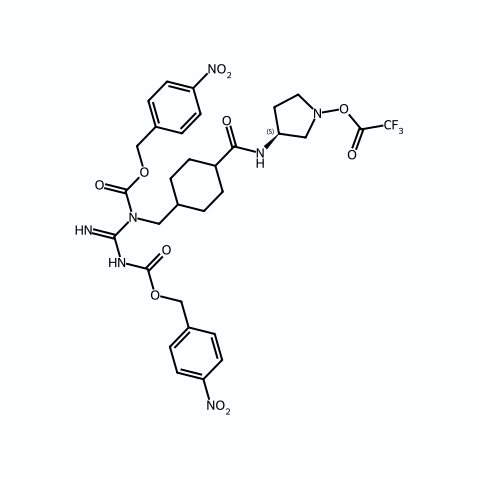 N=C(NC(=O)OCc1ccc([N+](=O)[O-])cc1)N(CC1CCC(C(=O)N[C@H]2CCN(OC(=O)C(F)(F)F)C2)CC1)C(=O)OCc1ccc([N+](=O)[O-])cc1